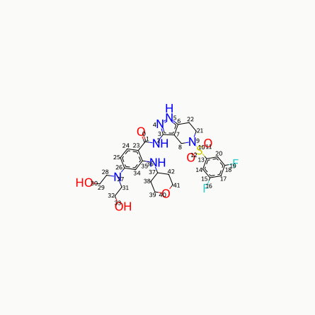 O=C(Nc1n[nH]c2c1CN(S(=O)(=O)c1cc(F)cc(F)c1)CC2)c1ccc(N(CCO)CCO)cc1NC1CCOCC1